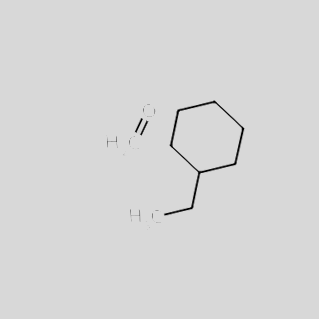 C=O.CCC1CCCCC1